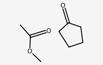 COC(C)=O.O=C1CCCC1